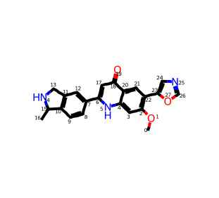 COc1cc2[nH]c(-c3ccc4c(c3)CNC4C)cc(=O)c2cc1-c1cnco1